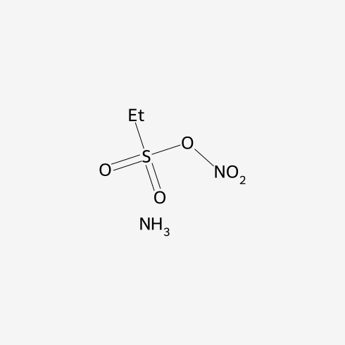 CCS(=O)(=O)O[N+](=O)[O-].N